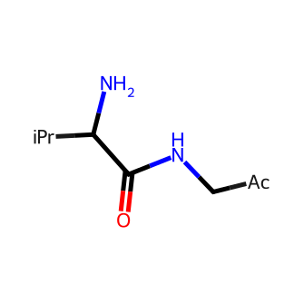 CC(=O)CNC(=O)C(N)C(C)C